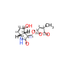 CC1=C[C@@H](O/C=C2/C(=O)N[C@@H]3C=C[C@@H](O)[C@H]23)OC1=O